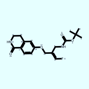 CC(C)(C)OC(=O)NC/C(=C\F)COc1ccc2c(c1)CCNC2=O